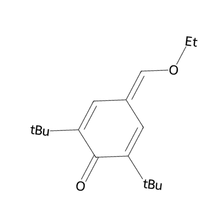 CCOC=C1C=C(C(C)(C)C)C(=O)C(C(C)(C)C)=C1